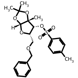 Cc1ccc(S(=O)(=O)O[C@@H]2[C@H](COCc3ccccc3)O[C@@H]3OC(C)(C)O[C@@]32C)cc1